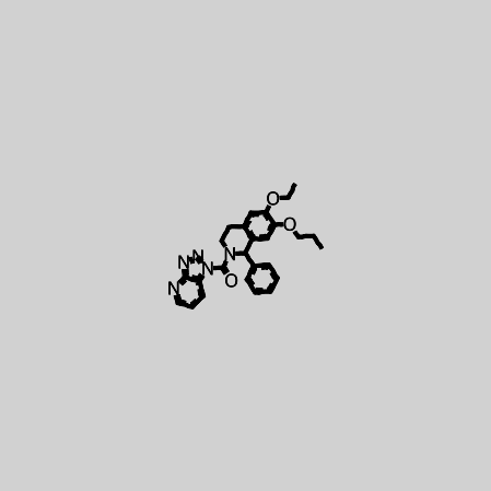 CCCOc1cc2c(cc1OCC)CCN(C(=O)n1nnc3ncccc31)C2c1ccccc1